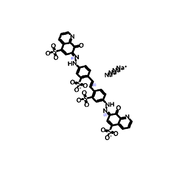 O=C1/C(=N\Nc2ccc(/C=C/c3ccc(N/N=C4\C=C(S(=O)(=O)[O-])c5cccnc5C4=O)cc3S(=O)(=O)[O-])c(S(=O)(=O)[O-])c2)C=C(S(=O)(=O)[O-])c2cccnc21.[Na+].[Na+].[Na+].[Na+]